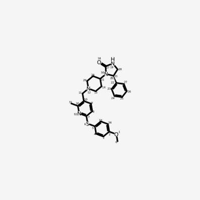 COc1ccc(Sc2ccc(CN3CCC(N4C(=O)NC[C@H]4c4ccccc4)CC3)c(C)n2)cc1